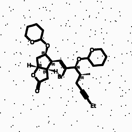 CCC#CC[C@@H](C)[C@H](OC1CCCCO1)C(Br)=C[C@H]1[C@H]2CC(=O)O[C@H]2C[C@H]1OC1CCCCO1